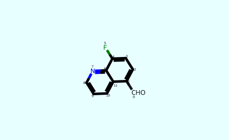 O=Cc1ccc(F)c2ncccc12